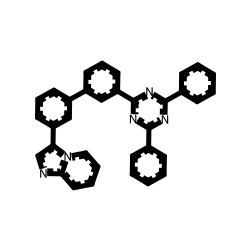 c1ccc(-c2nc(-c3ccccc3)nc(-c3cccc(-c4cccc(-c5cnc6ccccn56)c4)c3)n2)cc1